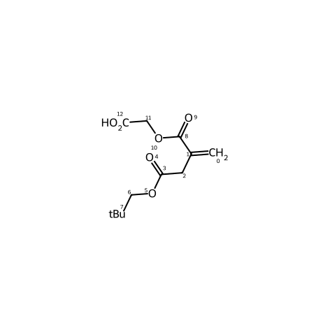 C=C(CC(=O)OCC(C)(C)C)C(=O)OCC(=O)O